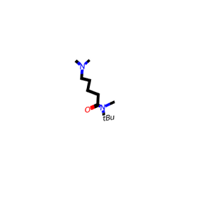 CN(C)CCCCC(=O)N(C)C(C)(C)C